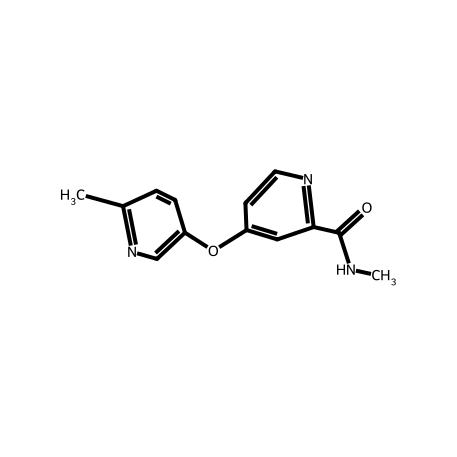 CNC(=O)c1cc(Oc2ccc(C)nc2)ccn1